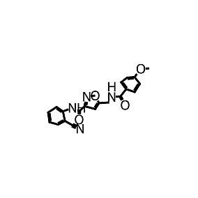 COc1ccc(C(=O)NCc2cc(C(=O)Nc3ccccc3C#N)no2)cc1